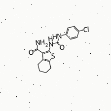 NC(=O)c1c(NC(=O)Nc2ccc(Cl)cc2)sc2c1CCCC2